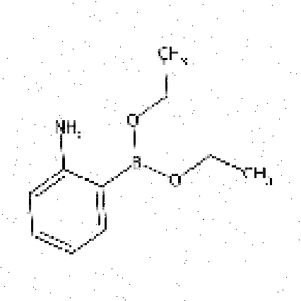 CCOB(OCC)c1ccccc1N